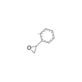 [c]1ccccc1C1CO1